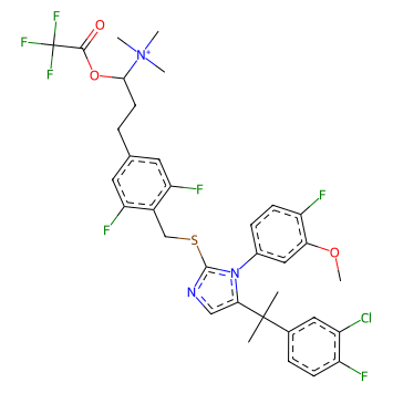 COc1cc(-n2c(C(C)(C)c3ccc(F)c(Cl)c3)cnc2SCc2c(F)cc(CCC(OC(=O)C(F)(F)F)[N+](C)(C)C)cc2F)ccc1F